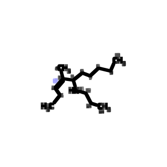 CC/C=C(/C)C(CCCCC)NCCC